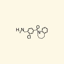 NCc1ccc(C(=O)N2CCCCc3ccccc32)cc1Cl